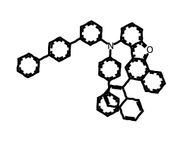 C1=CC2C=CC=C(c3cc4c(oc5cccc(N(c6ccc(-c7ccccc7)cc6)c6cccc(-c7ccc(-c8ccccc8)cc7)c6)c54)c4ccccc34)C2C=C1